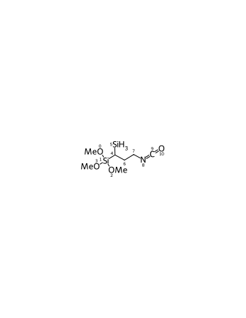 CO[Si](OC)(OC)C([SiH3])CCN=C=O